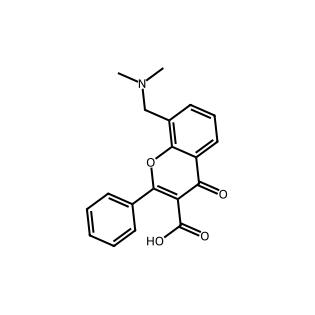 CN(C)Cc1cccc2c(=O)c(C(=O)O)c(-c3ccccc3)oc12